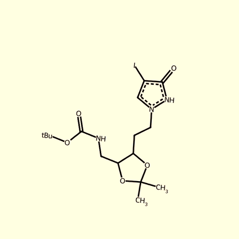 CC(C)(C)OC(=O)NCC1OC(C)(C)OC1CCn1cc(I)c(=O)[nH]1